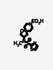 CN(C1COC2(CCN(C(=O)O)CC2)C1)S(=O)(=O)c1nccs1